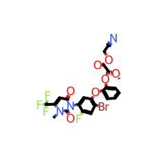 CO[C@@H](Oc1ccccc1Oc1cc(-n2c(=O)cc(C(F)(F)F)n(C)c2=O)c(F)cc1Br)C(=O)OCC#N